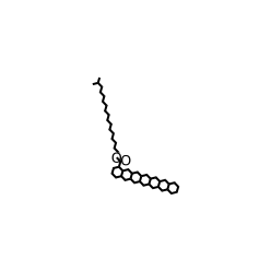 CC(C)CCCCCCCCCCCCCCCOC(=O)C1CCCC2CC3CC4CC5CC6CC7CCCCC7CC6CC5CC4CC3CC21